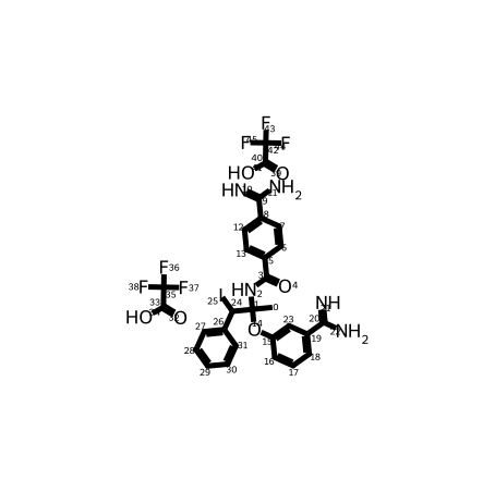 CC(NC(=O)c1ccc(C(=N)N)cc1)(Oc1cccc(C(=N)N)c1)C(I)c1ccccc1.O=C(O)C(F)(F)F.O=C(O)C(F)(F)F